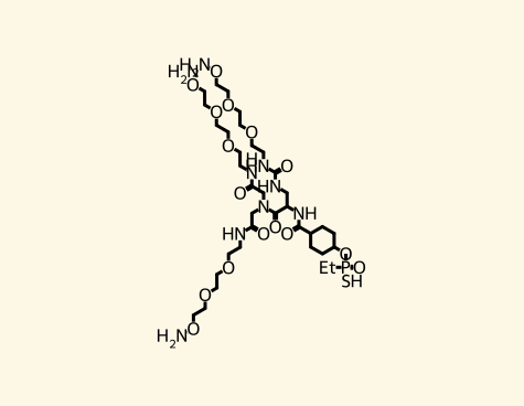 CCP(=O)(S)OC1CCC(C(=O)NC(CNC(=O)NCCOCCOCCON)C(=O)N(CC(=O)NCCOCCOCCON)CC(=O)NCCOCCOCCON)CC1